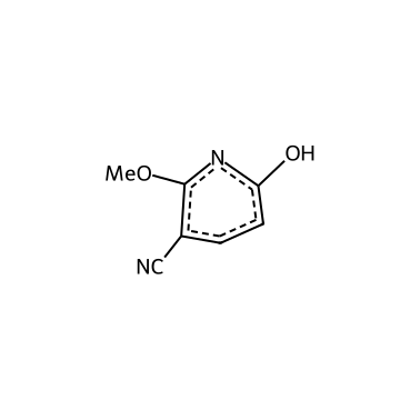 COc1nc(O)ccc1C#N